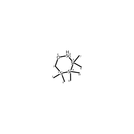 C[Si]1(C)CO[SiH2][Si](C)(C)[Si]1(C)C